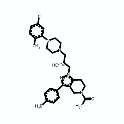 Bc1ccc(-c2nn(C[C@H](O)CN3CCN(c4cc(Cl)ccc4C)CC3)c3c2CN(C(C)=O)CC3)cc1